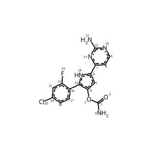 NC(=O)Oc1cc(-c2ccnc(N)n2)[nH]c1-c1ccc(Cl)cc1F